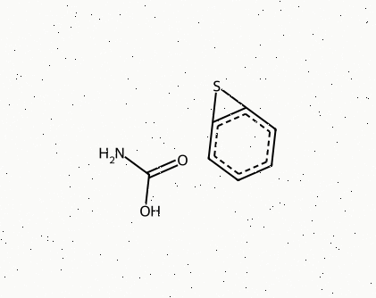 NC(=O)O.c1ccc2c(c1)S2